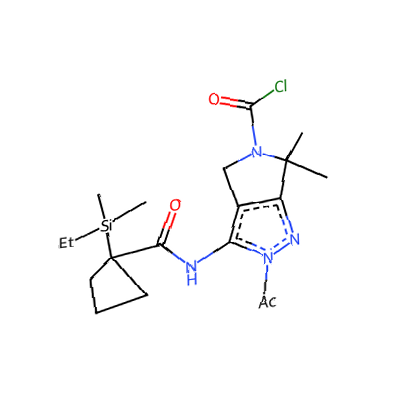 CC[Si](C)(C)C1(C(=O)Nc2c3c(nn2C(C)=O)C(C)(C)N(C(=O)Cl)C3)CCC1